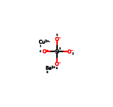 [Ba+2].[Cu+2].[O-][Si]([O-])([O-])[O-]